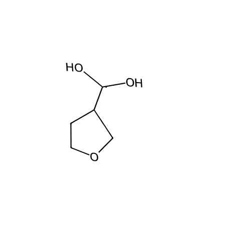 O[C](O)C1CCOC1